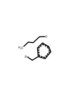 CCCC[O-].[Zn+][CH2]c1ccccc1